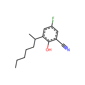 CCCCCC(C)c1cc(F)cc(C#N)c1O